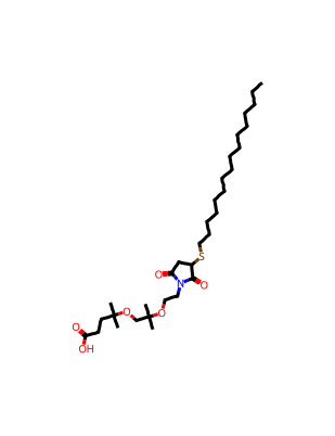 CCCCCCCCCCCCCCCCSC1CC(=O)N(CCOC(C)(C)COC(C)(C)CCC(=O)O)C1=O